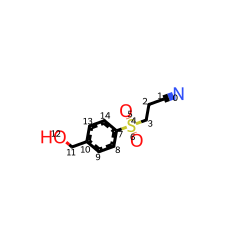 N#CCCS(=O)(=O)c1ccc(CO)cc1